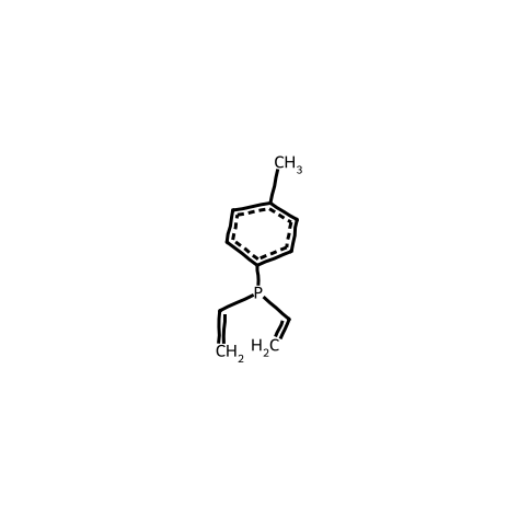 C=CP(C=C)c1ccc(C)cc1